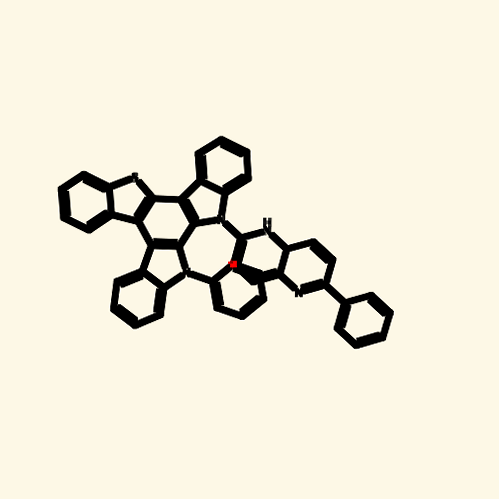 C1=CC2NC(n3c4ccccc4c4c5sc6ccccc6c5c5c6ccccc6n(-c6ccccc6)c5c43)=CC=C2N=C1c1ccccc1